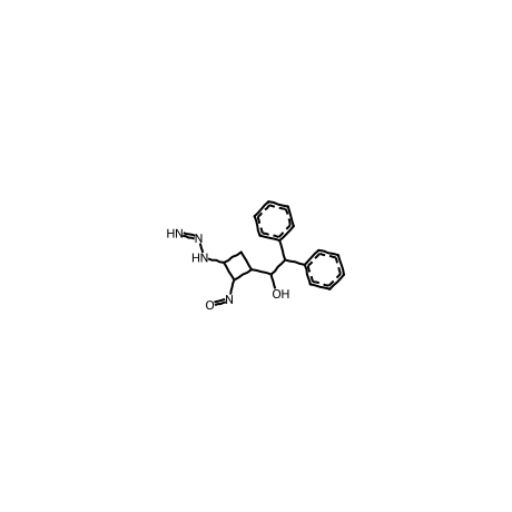 N=NNC1CC(C(O)C(c2ccccc2)c2ccccc2)C1N=O